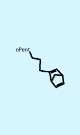 CCCCCCCCC1=CC2C=CC1C2